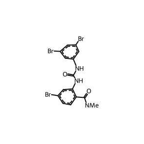 CNC(=O)c1ccc(Br)cc1NC(=O)Nc1cc(Br)cc(Br)c1